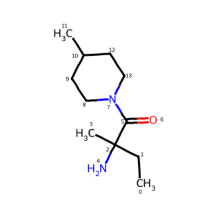 CCC(C)(N)C(=O)N1CCC(C)CC1